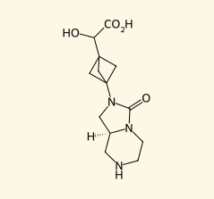 O=C(O)C(O)C12CC(N3C[C@@H]4CNCCN4C3=O)(C1)C2